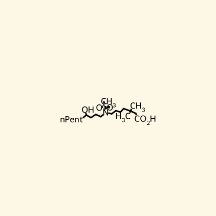 CCCCCC(O)CCCN(CCCCC(C)(C)CC(=O)O)S(C)(=O)=O